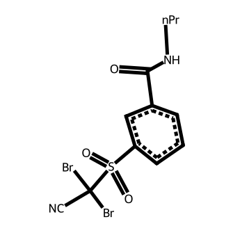 CCCNC(=O)c1cccc(S(=O)(=O)C(Br)(Br)C#N)c1